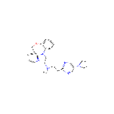 CN(CCc1ncc(N2CCCC2)cn1)CCN1c2ccccc2OCc2cccnc21